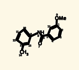 COc1cccc(C(=O)Nc2cccc(C)c2)c1